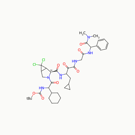 CN(C)C(=O)C(NC(=O)CNC(=O)C(=O)C(CC1CC1)NC(=O)[C@@H]1C2C(CN1C(=O)C(NC(=O)OC(C)(C)C)C1CCCCC1)C2(Cl)Cl)c1ccccc1